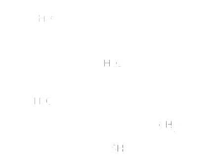 [CH2]C(CC)C(S)C(CC)CCCC